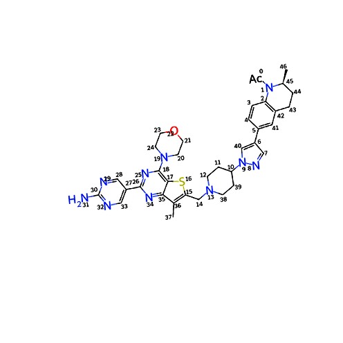 CC(=O)N1c2ccc(-c3cnn(C4CCN(Cc5sc6c(N7CCOCC7)nc(-c7cnc(N)nc7)nc6c5C)CC4)c3)cc2CC[C@@H]1C